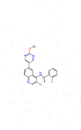 CCOc1ncc(-c2ccc3ncc(Cl)c(N[C@H](C)c4ccccc4F)c3c2)cn1